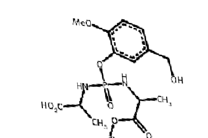 COc1ccc(CO)cc1OP(=O)(NC(C)C(=O)O)NC(C)C(=O)OC(C)C